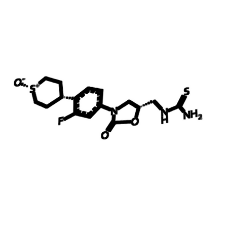 NC(=S)NC[C@H]1CN(c2ccc([C@H]3CC[S@@+]([O-])CC3)c(F)c2)C(=O)O1